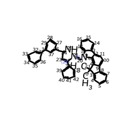 CC1(C)c2ccccc2-c2ccc3c4ccccc4n(/C=N/C(=C\C(=N)c4cccc(-c5ccccc5)c4)c4ccccc4)c3c21